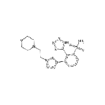 NS(=O)(=O)c1cccc(-c2cnn(CCN3CCOCC3)c2)c1-c1nnn[nH]1